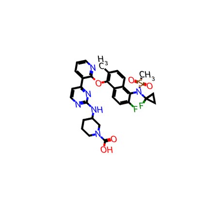 Cc1ccc2c(N(C3(F)CC3)S(C)(=O)=O)c(F)ccc2c1Oc1ncccc1-c1ccnc(NC2CCCN(C(=O)O)C2)n1